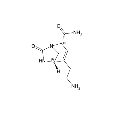 NCCC1=C[C@@H](C(N)=O)N2C[C@H]1NC2=O